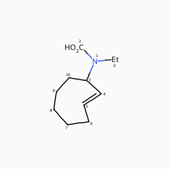 CCN(C(=O)O)C1/C=C/CCCCC1